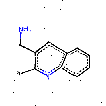 [2H]c1nc2ccccc2cc1CN